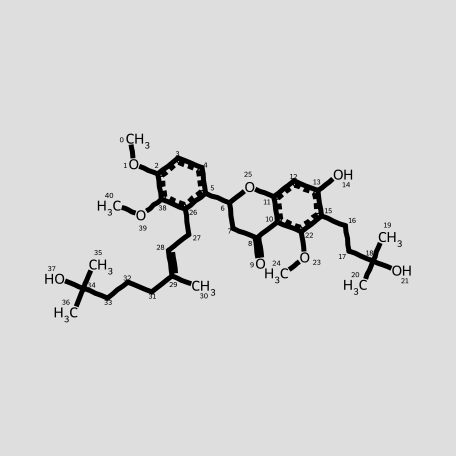 COc1ccc(C2CC(=O)c3c(cc(O)c(CCC(C)(C)O)c3OC)O2)c(C/C=C(\C)CCCC(C)(C)O)c1OC